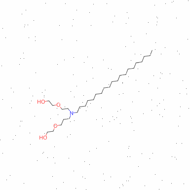 CCCCCCCCCCCCCCCCCCCCN(CCCOCCO)CCOCCO